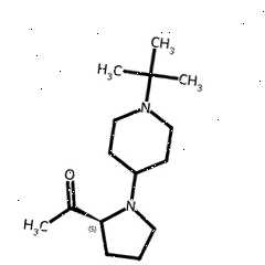 CC(=O)[C@@H]1CCCN1C1CCN(C(C)(C)C)CC1